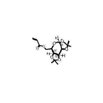 C=CC(=O)OCC1O[C@@H]2OC(C)(C)OC2[C@H]2OC(C)(C)O[C@@H]12